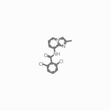 Cc1cn2cccc(NC(=O)c3c(Cl)cccc3Cl)c2n1